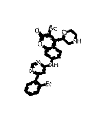 CCc1ccccc1-c1cc(Nc2ccc3c(C4CNCCO4)c(C(C)=O)c(=O)oc3c2)ncn1